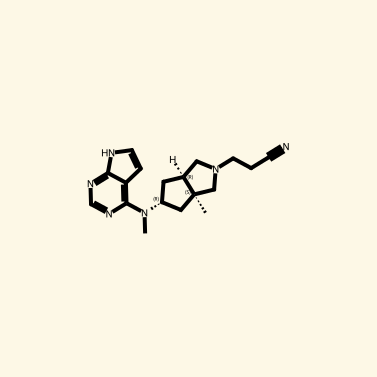 CN(c1ncnc2[nH]ccc12)[C@@H]1C[C@H]2CN(CCC#N)C[C@@]2(C)C1